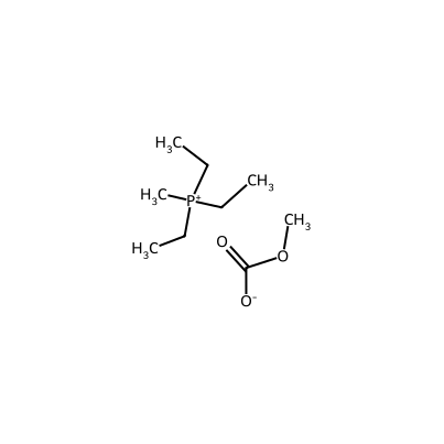 CC[P+](C)(CC)CC.COC(=O)[O-]